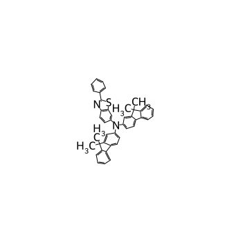 CC1(C)c2ccccc2-c2ccc(N(c3ccc4c(c3)C(C)(C)c3ccccc3-4)c3ccc4nc(-c5ccccc5)sc4c3)cc21